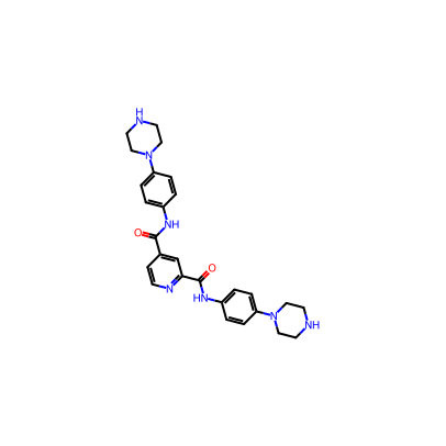 O=C(Nc1ccc(N2CCNCC2)cc1)c1ccnc(C(=O)Nc2ccc(N3CCNCC3)cc2)c1